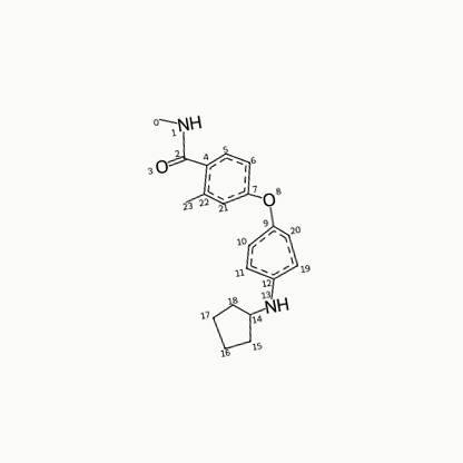 CNC(=O)c1ccc(Oc2ccc(NC3CCCC3)cc2)cc1C